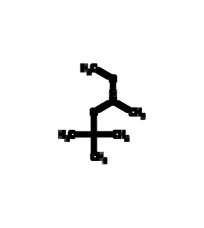 CO[SiH](C)OC(C)(C)C